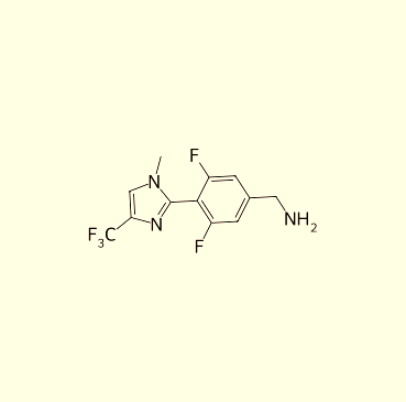 Cn1cc(C(F)(F)F)nc1-c1c(F)cc(CN)cc1F